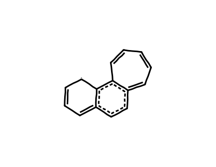 [CH]1C=CC=c2ccc3c(c21)C=CC=CC=3